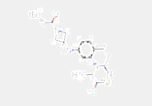 CC1C(=O)NN=C2CCc3ccc(NC4CN(C(=O)OC(C)(C)C)C4)cc3N21